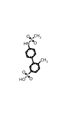 Cc1ccc(S(=O)(=O)O)cc1-c1ccc(NS(C)(=O)=O)cc1